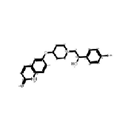 O=c1ccc2cc(OC3CCN(C[C@H](O)c4ccc(F)cc4)CC3)ccc2[nH]1